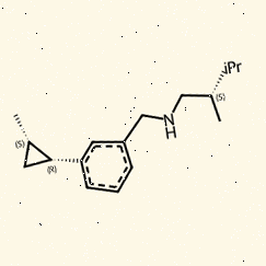 CC(C)[C@H](C)CNCc1cccc([C@@H]2C[C@@H]2C)c1